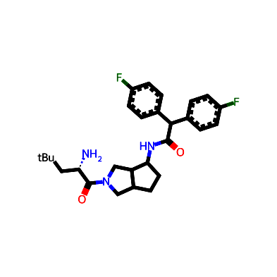 CC(C)(C)C[C@H](N)C(=O)N1CC2CCC(NC(=O)C(c3ccc(F)cc3)c3ccc(F)cc3)C2C1